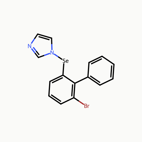 Brc1cccc([Se]n2ccnc2)c1-c1ccccc1